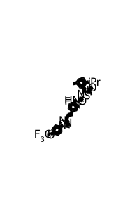 Cc1ccc(C(C)C)c(N2C(=O)CSC2=NC(=O)Nc2c(F)cc(C=Cc3ncn(-c4ccc(OC(F)(F)F)cc4)n3)cc2F)c1